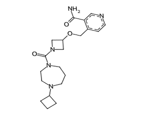 NC(=O)c1cnccc1COC1CN(C(=O)N2CCCN(C3CCC3)CC2)C1